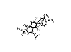 CN1CC2CCCC1(C)CN2c1c(F)cc2c(=O)c(C(=O)O)cn(C3CC3)c2c1Cl